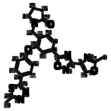 Cc1nc(-c2noc(-c3ccc(CN4CCCC4=O)c(Oc4ccc(-c5nnc(C)s5)cc4)c3)n2)co1